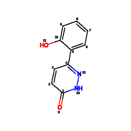 O=c1ccc(-c2ccccc2O)n[nH]1